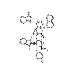 NC(=O)[C@H](Cc1ccc(Cl)cc1)NC(=O)[C@H](Cc1c[nH]c2ccccc12)NC(=O)[C@@H](Cc1ccc2ccccc2c1)NC(=O)[C@H](N)Cc1c[nH]c2ccccc12